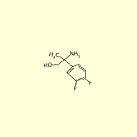 CC(N)(CO)c1ccc(F)c(F)c1